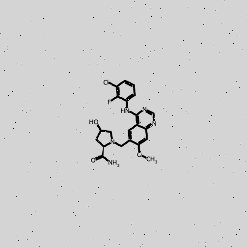 COc1cc2ncnc(Nc3cccc(Cl)c3F)c2cc1CN1CC(O)C[C@@H]1C(N)=O